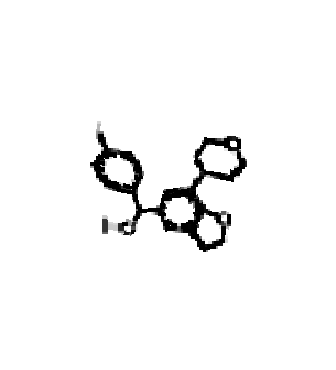 OC(c1ccc(I)cc1)c1cc2c(c(C3CCOCC3)c1)OCC2